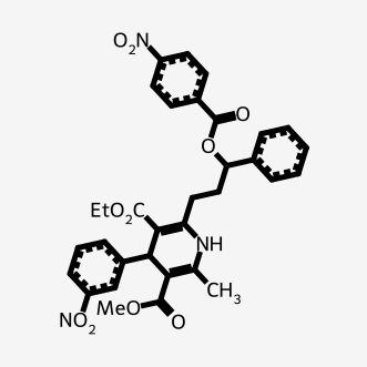 CCOC(=O)C1=C(CCC(OC(=O)c2ccc([N+](=O)[O-])cc2)c2ccccc2)NC(C)=C(C(=O)OC)C1c1cccc([N+](=O)[O-])c1